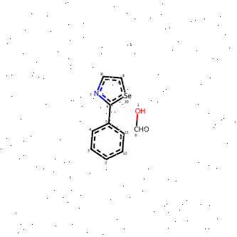 O=CO.c1ccc(-c2ncc[se]2)cc1